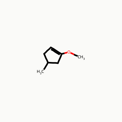 COC1=CCC(C)C1